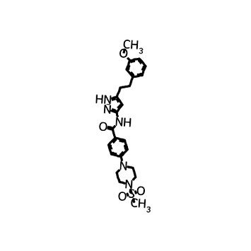 COc1cccc(CCc2cc(NC(=O)c3ccc(N4CCN(S(C)(=O)=O)CC4)cc3)n[nH]2)c1